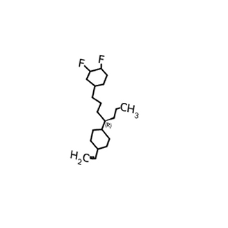 C=CC1CCC([C@H](CCC)CCCC2CCC(F)C(F)C2)CC1